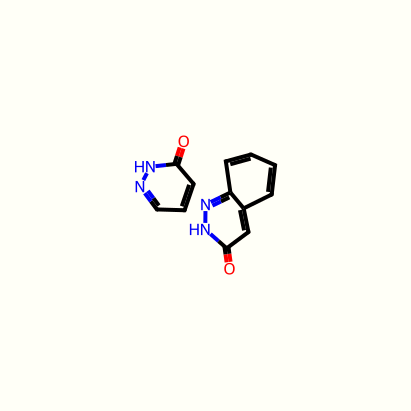 O=c1cc2ccccc2n[nH]1.O=c1cccn[nH]1